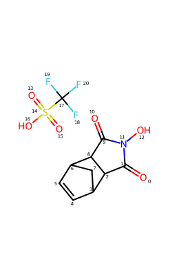 O=C1C2C3C=CC(C3)C2C(=O)N1O.O=S(=O)(O)C(F)(F)F